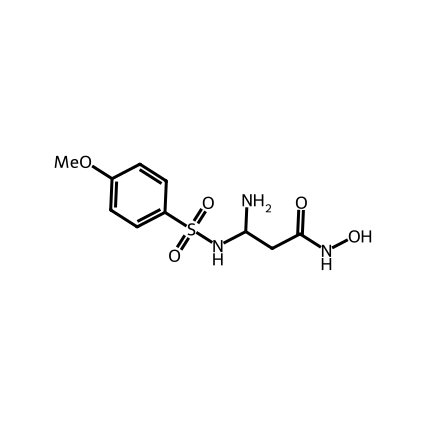 COc1ccc(S(=O)(=O)NC(N)CC(=O)NO)cc1